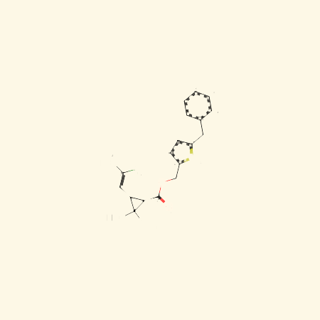 CC1(C)[C@H](C(=O)OCc2ccc(Cc3ccccc3)s2)[C@@H]1C=C(Cl)C(F)(F)F